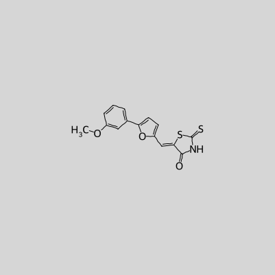 COc1cccc(-c2ccc(/C=C3\SC(=S)NC3=O)o2)c1